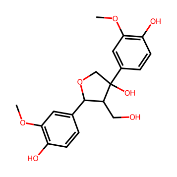 COc1cc(C2OCC(O)(c3ccc(O)c(OC)c3)C2CO)ccc1O